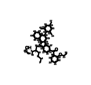 C=NO.CCCCC(CC)Cn1c2ccc(C(=O)c3ccccc3OCC)cc2c2cc(-c3c(C)cc(C)cc3C)c3ccccc3c21